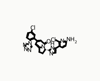 Nc1ccc(-c2cnc([C@@H]3CCc4cc(-c5cc(Cl)ccc5-n5cnnn5)cc(=O)n43)[nH]2)c(Cl)n1